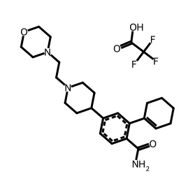 NC(=O)c1ccc(C2CCN(CCN3CCOCC3)CC2)cc1C1=CCCCC1.O=C(O)C(F)(F)F